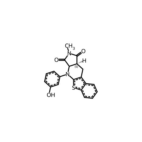 CN1C(=O)C2[C@H](Cc3c(sc4ccccc34)N2c2cccc(O)c2)C1=O